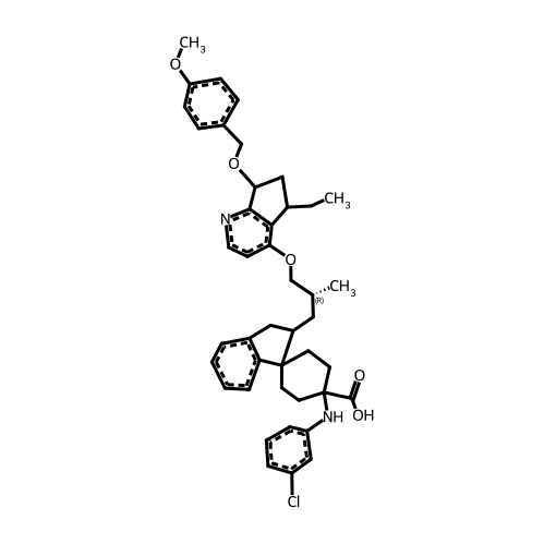 CCC1CC(OCc2ccc(OC)cc2)c2nccc(OC[C@H](C)CC3Cc4ccccc4C34CCC(Nc3cccc(Cl)c3)(C(=O)O)CC4)c21